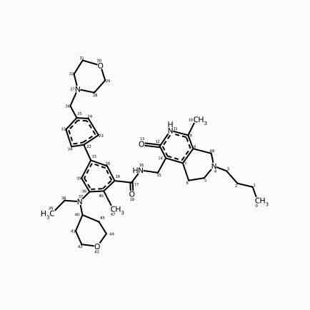 CCCCN1CCc2c(c(C)[nH]c(=O)c2CNC(=O)c2cc(-c3ccc(CN4CCOCC4)cc3)cc(N(CC)C3CCOCC3)c2C)C1